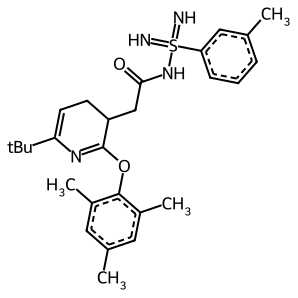 Cc1cccc(S(=N)(=N)NC(=O)CC2CC=C(C(C)(C)C)N=C2Oc2c(C)cc(C)cc2C)c1